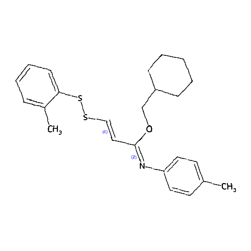 Cc1ccc(/N=C(/C=C/SSc2ccccc2C)OCC2CCCCC2)cc1